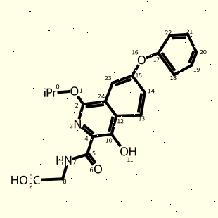 CC(C)Oc1nc(C(=O)NCC(=O)O)c(O)c2ccc(Oc3ccccc3)cc12